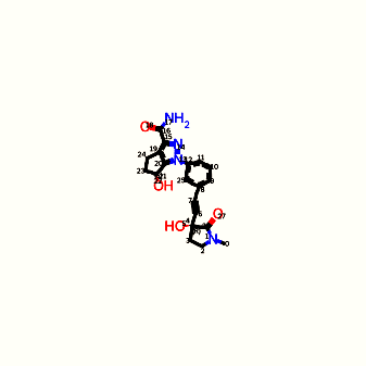 CN1CC[C@@](O)(C#Cc2cccc(-n3nc(C(N)=O)c4c3[C@@H](O)CC4)c2)C1=O